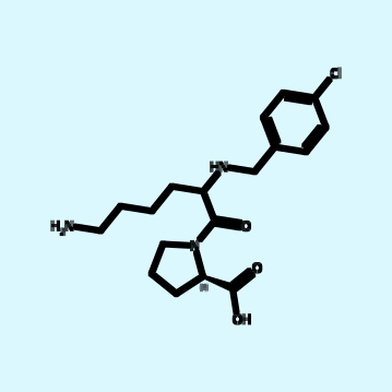 NCCCCC(NCc1ccc(Cl)cc1)C(=O)N1CCC[C@@H]1C(=O)O